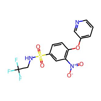 O=[N+]([O-])c1cc(S(=O)(=O)NCC(F)(F)F)ccc1Oc1cccnc1